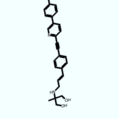 CC(CO)(CO)NC/C=C/c1ccc(C#Cc2ccc(-c3ccc(Cl)cc3)cn2)cc1